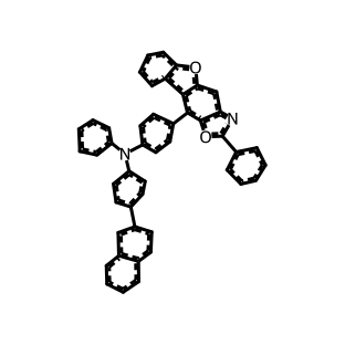 c1ccc(-c2nc3cc4oc5ccccc5c4c(-c4ccc(N(c5ccccc5)c5ccc(-c6ccc7ccccc7c6)cc5)cc4)c3o2)cc1